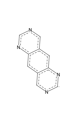 [c]1ncc2cc3ncncc3cc2n1